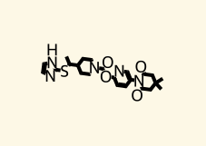 CC(Sc1ncc[nH]1)C1CCN(C(=O)Oc2ccc(N3C(=O)CC(C)(C)CC3=O)cn2)CC1